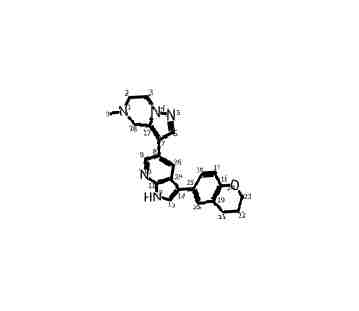 CN1CCn2ncc(-c3cnc4[nH]cc(-c5ccc6c(c5)CCCO6)c4c3)c2C1